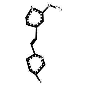 COc1cc(C=Cc2ccc(F)cn2)ccn1